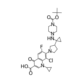 CC(C)(C)OC(=O)N1CCN(NC2(C3CCN(c4c(F)cc5c(=O)c(C(=O)O)cn(C6CC6)c5c4Cl)C3)CC2)CC1